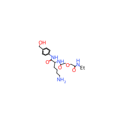 CCNC(=O)COCC(=O)NC(CCCCN)C(=O)Nc1ccc(CO)cc1